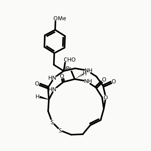 COc1ccc(CC2(C=O)CNCC(=O)OC3/C=C/CCSSC[C@@H](NC(=O)[C@@H](C(C)C)NC(=O)C3)C(=O)N2)cc1